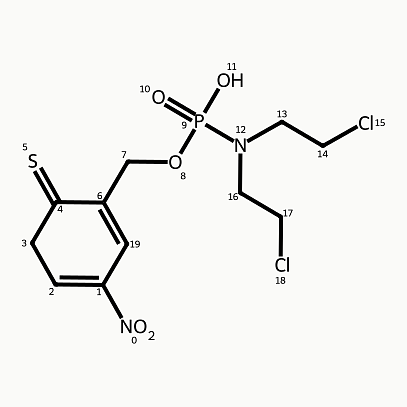 O=[N+]([O-])C1=CCC(=S)C(COP(=O)(O)N(CCCl)CCCl)=C1